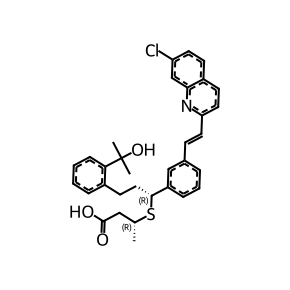 C[C@H](CC(=O)O)S[C@H](CCc1ccccc1C(C)(C)O)c1cccc(C=Cc2ccc3ccc(Cl)cc3n2)c1